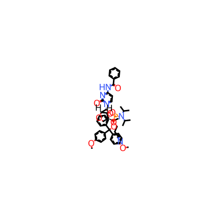 COc1ccc(C(OC(C)[C@]23CO[C@H]([C@H](n4ccc(NC(=O)c5ccccc5)nc4=O)O2)[C@H]3OP(OCCC#N)N(C(C)C)C(C)C)(c2ccccc2)c2ccc(OC)cc2)cc1